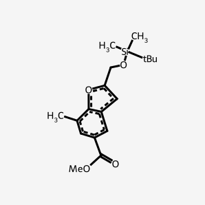 COC(=O)c1cc(C)c2oc(CO[Si](C)(C)C(C)(C)C)cc2c1